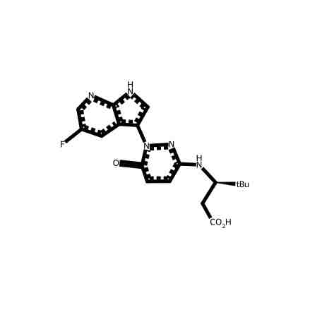 CC(C)(C)[C@@H](CC(=O)O)Nc1ccc(=O)n(-c2c[nH]c3ncc(F)cc23)n1